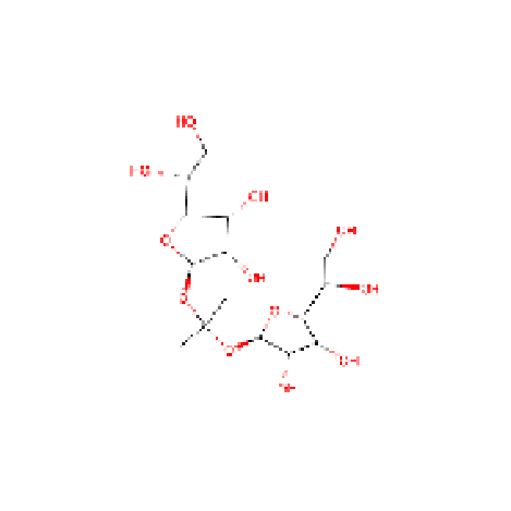 CC(C)(O[C@H]1O[C@H]([C@H](O)CO)[C@H](O)[C@@H]1O)O[C@H]1O[C@H]([C@H](O)CO)[C@H](O)[C@@H]1O